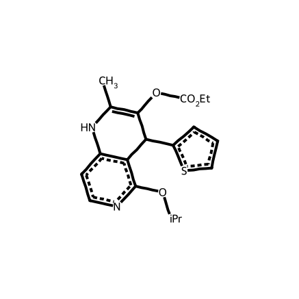 CCOC(=O)OC1=C(C)Nc2ccnc(OC(C)C)c2C1c1cccs1